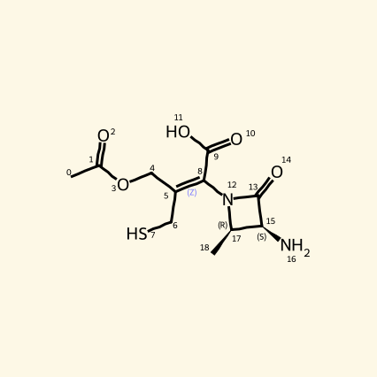 CC(=O)OC/C(CS)=C(\C(=O)O)N1C(=O)[C@@H](N)[C@H]1C